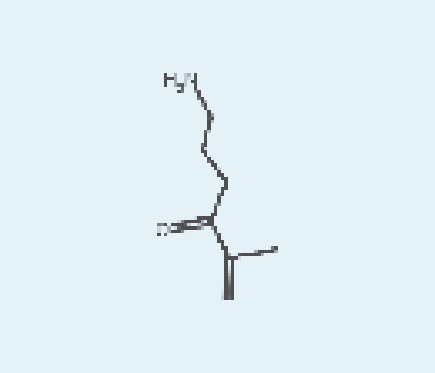 C=C(C)C(=O)CCCN